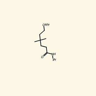 COCCC(C)(C)CCC(=O)NC(C)C